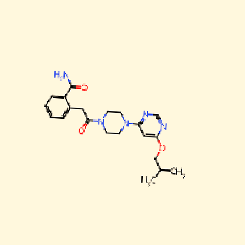 CC(C)COc1cc(N2CCN(C(=O)Cc3ccccc3C(N)=O)CC2)ncn1